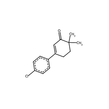 CC1(C)CCC(c2ccc(Cl)cc2)=CC1=O